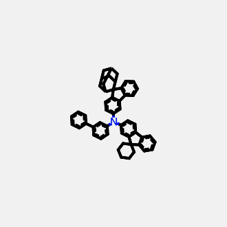 c1ccc(-c2cccc(N(c3ccc4c(c3)-c3ccccc3C43C4CC5CC(C4)CC3C5)c3ccc4c(c3)C3(CCCCC3)c3ccccc3-4)c2)cc1